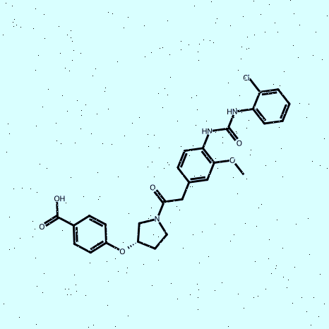 COc1cc(CC(=O)N2CC[C@H](Oc3ccc(C(=O)O)cc3)C2)ccc1NC(=O)Nc1ccccc1Cl